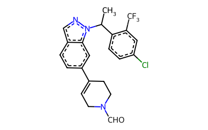 CC(c1ccc(Cl)cc1C(F)(F)F)n1ncc2ccc(C3=CCN(C=O)CC3)cc21